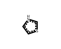 c1csc[siH]1